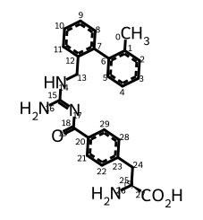 Cc1ccccc1-c1ccccc1CNC(N)=NC(=O)c1ccc(C[C@H](N)C(=O)O)cc1